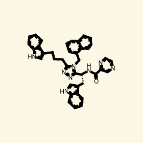 O=C(N[C@H](Cc1c[nH]c2ccccc12)c1nnc(CCCc2c[nH]c3ccccc23)n1Cc1cccc2ccccc12)c1cnccn1